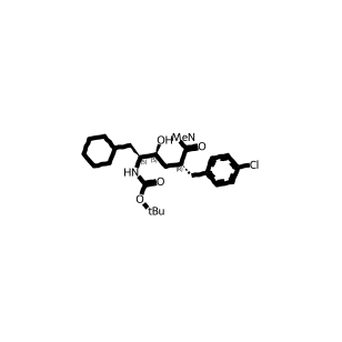 CNC(=O)[C@H](Cc1ccc(Cl)cc1)C[C@H](O)[C@H](CC1CCCCC1)NC(=O)OC(C)(C)C